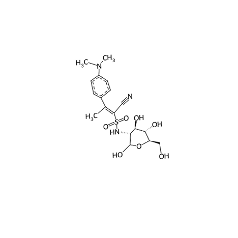 C/C(=C(/C#N)S(=O)(=O)N[C@H]1C(O)O[C@H](CO)[C@@H](O)[C@@H]1O)c1ccc(N(C)C)cc1